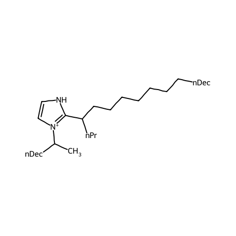 CCCCCCCCCCCCCCCCCC(CCC)c1[nH]cc[n+]1C(C)CCCCCCCCCC